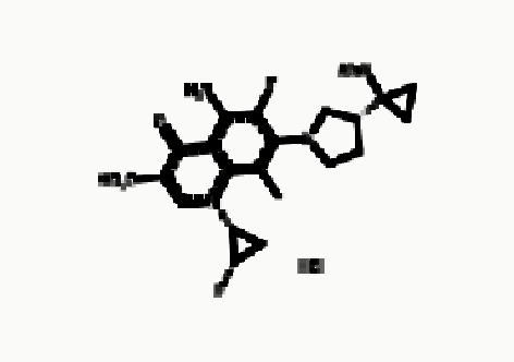 CNC1([C@@H]2CCN(c3c(F)c(N)c4c(=O)c(C(=O)O)cn([C@@H]5C[C@@H]5F)c4c3C)C2)CC1.Cl